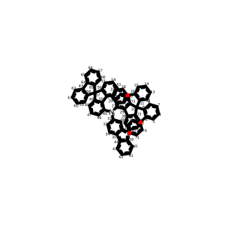 c1ccc(-c2ccccc2C2(c3ccccc3-c3ccccc3)c3ccccc3-c3c(N(c4ccc5c(c4)sc4ccccc45)c4cccc5c4-c4ccccc4C54c5ccccc5-c5ccccc54)cccc32)cc1